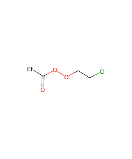 CCC(=O)OOCCCl